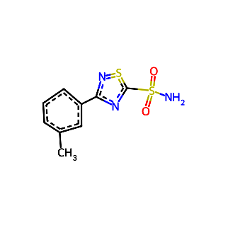 Cc1cccc(-c2nsc(S(N)(=O)=O)n2)c1